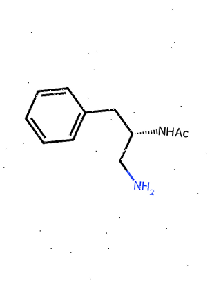 CC(=O)N[C@H](CN)Cc1ccccc1